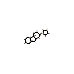 C1=CCC2=C(C1)CC1CC(N3CCCC3)CCC21